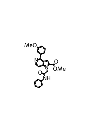 COC(=O)c1cc2c(-c3cccc(OC)c3)nccc2n1CC(=O)Nc1ccccc1